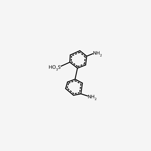 Nc1cccc(-c2cc(N)ccc2S(=O)(=O)O)c1